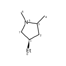 CC[C@@H]1CC(C)N(C)C1